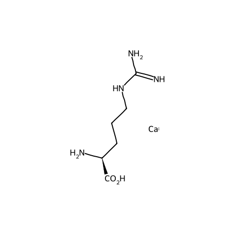 N=C(N)NCCC[C@H](N)C(=O)O.[Ca]